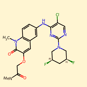 CNC(=O)COc1cc2cc(Nc3nc(N4C[C@H](F)C[C@H](F)C4)ncc3Cl)ccc2n(C)c1=O